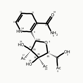 CC(=O)C(O)[C@H]1O[C@@H](C2=C(C(N)=O)CC=CN2)[C@@](O)(C(C)=O)[C@@]1(O)C(C)=O